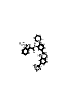 Cn1nc(C(=O)Nc2cc(C(=O)Nc3cc(-c4nnn[nH]4)ccc3F)ccc2N2CCCCC2)c2ccccc21